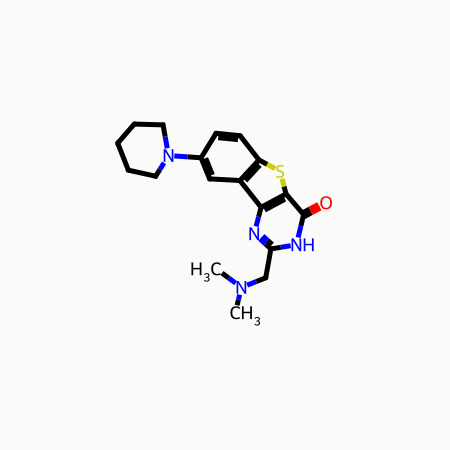 CN(C)Cc1nc2c(sc3ccc(N4CCCCC4)cc32)c(=O)[nH]1